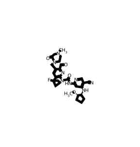 CO[C@H]1CCC[C@@H]1Nc1cc(NC(=O)N2c3nc(C=O)c(CN4CCN(C)CC4=O)cc3C3(F)CC2C3)ncc1C#N